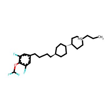 CCC[SiH]1CCC([C@H]2CC[C@H](CCCCc3cc(F)c(OC(F)F)c(F)c3)CC2)CC1